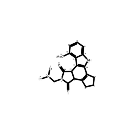 CCN(CC)CN1C(=O)C2C3=C(CCC3)c3[nH]c4cccc(OC)c4c3C2C1=O